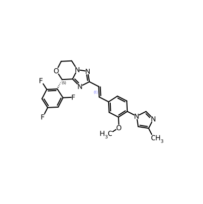 COc1cc(/C=C/c2nc3n(n2)CCO[C@H]3c2c(F)cc(F)cc2F)ccc1-n1cnc(C)c1